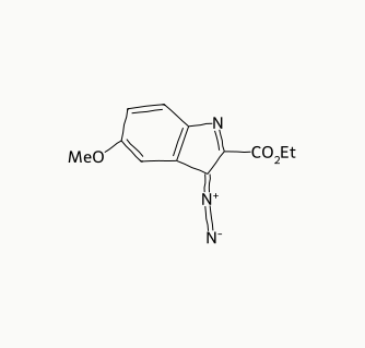 CCOC(=O)C1=Nc2ccc(OC)cc2C1=[N+]=[N-]